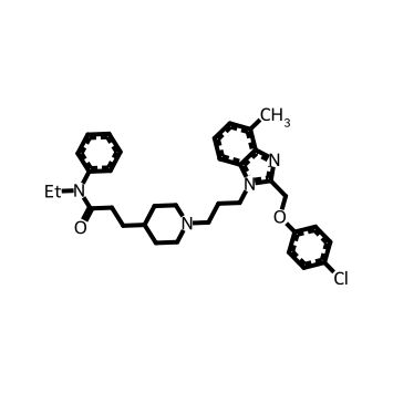 CCN(C(=O)CCC1CCN(CCCn2c(COc3ccc(Cl)cc3)nc3c(C)cccc32)CC1)c1ccccc1